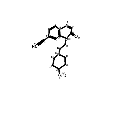 C#Cc1ccc2ncc(=O)n(CCN3CCC(N)CC3)c2c1